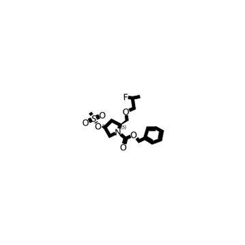 CC(F)COC[C@@H]1C[C@@H](OS(C)(=O)=O)CN1C(=O)OCc1ccccc1